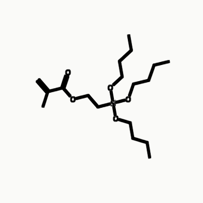 C=C(C)C(=O)OCC[Si](OCCCC)(OCCCC)OCCCC